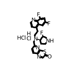 Cl.Cl.O=c1cnc2ccc(CN(CCc3ccnc4c(F)cc(F)cc34)[C@@H]3CCNC[C@@H]3F)nc2s1